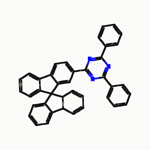 C1=CC2c3ccccc3C3(c4ccccc4-c4ccc(-c5nc(-c6ccccc6)nc(-c6ccccc6)n5)cc43)C2C=C1